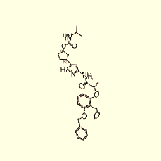 CC(C)NC(=O)O[C@@H]1CC[C@H](c2cc(NC(=O)C(C)Oc3cccc(OCc4ccccc4)c3C=O)n[nH]2)C1